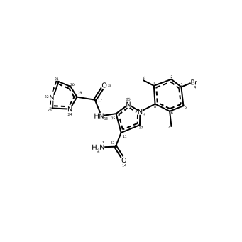 Cc1cc(Br)cc(C)c1-n1cc(C(N)=O)c(NC(=O)c2ccncn2)n1